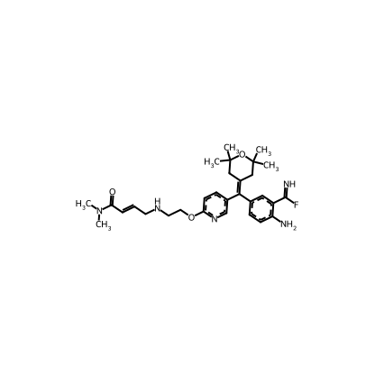 CN(C)C(=O)/C=C/CNCCOc1ccc(C(=C2CC(C)(C)OC(C)(C)C2)c2ccc(N)c(C(=N)F)c2)cn1